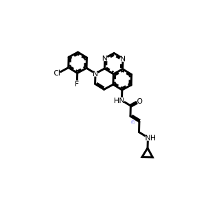 O=C(/C=C/CNC1CC1)Nc1ccc2ncnc3c2c1C=CN3c1cccc(Cl)c1F